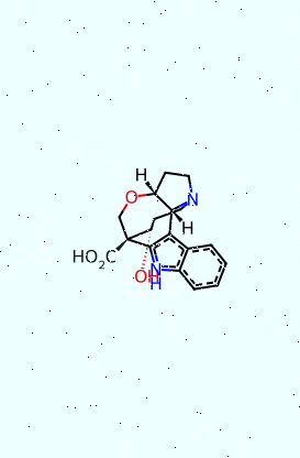 O=C(O)[C@@]12CO[C@@H]3CCN(CC[C@@H]1O)[C@@H]3c1c2[nH]c2ccccc12